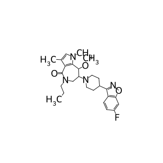 CCCN1CC(N2CCC(c3noc4cc(F)ccc34)CC2)C(OC)c2c(c(C)cn2C)C1=O